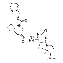 CN(C)C1CCN(c2nc(Cl)nc(NNC(=O)[C@@H](CNC(=O)OCc3ccccc3)CC3CCCC3)c2F)C1(C)C